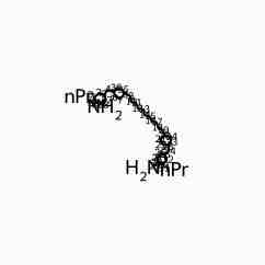 CCCc1cc(Cc2ccc(CCCCCCCCCCCc3ccc(Cc4ccc(N)c(CCC)c4)cc3)cc2)ccc1N